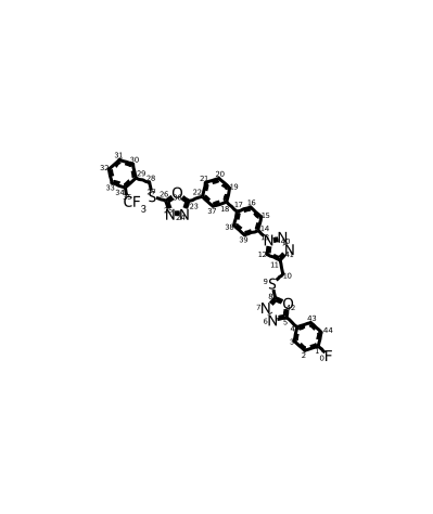 Fc1ccc(-c2nnc(SCc3cn(-c4ccc(-c5cccc(-c6nnc(SCc7ccccc7C(F)(F)F)o6)c5)cc4)nn3)o2)cc1